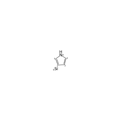 [Si].c1cc[nH]c1